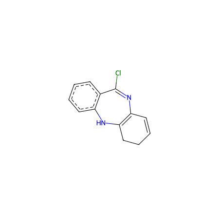 ClC1=NC2=C(CCC=C2)Nc2ccccc21